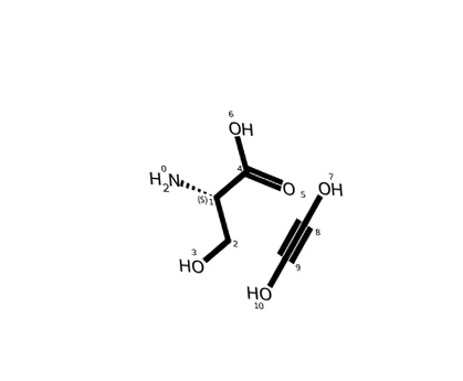 N[C@@H](CO)C(=O)O.OC#CO